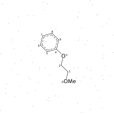 [CH2]OCCOc1ccccc1